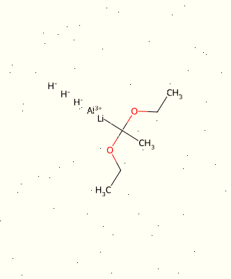 [Al+3].[H-].[H-].[H-].[Li][C](C)(OCC)OCC